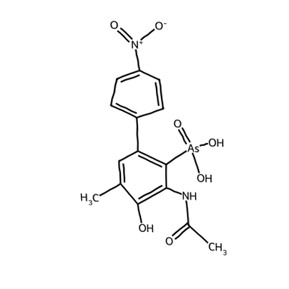 CC(=O)Nc1c(O)c(C)cc(-c2ccc([N+](=O)[O-])cc2)c1[As](=O)(O)O